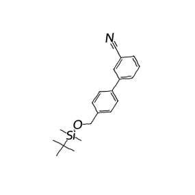 CC(C)(C)[Si](C)(C)OCc1ccc(-c2cccc(C#N)c2)cc1